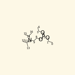 CCOP(OCC)OCCN(C(C)C)C(C)C